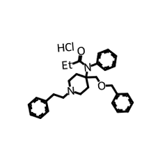 CCC(=O)N(c1ccccc1)C1(COCc2ccccc2)CCN(CCc2ccccc2)CC1.Cl